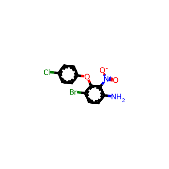 Nc1ccc(Br)c(Oc2ccc(Cl)cc2)c1[N+](=O)[O-]